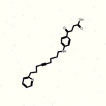 O=C(O)CCC(=O)c1ccc(NCCCCC#CCCCc2ccccn2)cc1